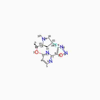 C[C@H](Oc1ccnc(-c2cnno2)n1)[C@@H]1C[C@H](F)CN1C